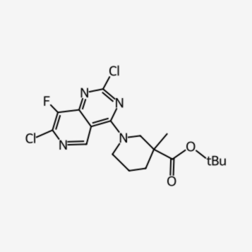 CC(C)(C)OC(=O)C1(C)CCCN(c2nc(Cl)nc3c(F)c(Cl)ncc23)C1